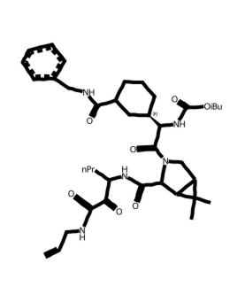 C=CCNC(=O)C(=O)C(CCC)NC(=O)C1C2C(CN1C(=O)C(NC(=O)OCC(C)C)[C@@H]1CCCC(C(=O)NCc3ccccc3)C1)C2(C)C